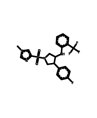 Cn1cnc(S(=O)(=O)N2CC(Nc3ccccc3C(F)(F)F)C(c3ccc(F)cc3)C2)c1